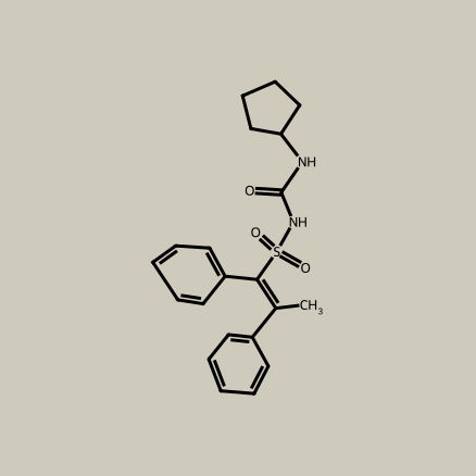 CC(=C(c1ccccc1)S(=O)(=O)NC(=O)NC1CCCC1)c1ccccc1